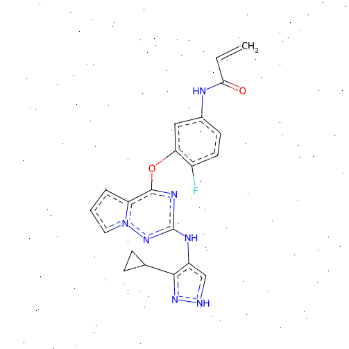 C=CC(=O)Nc1ccc(F)c(Oc2nc(Nc3c[nH]nc3C3CC3)nn3cccc23)c1